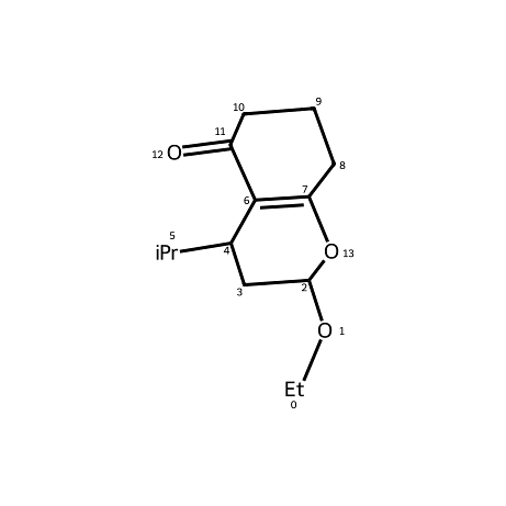 CCOC1CC(C(C)C)C2=C(CCCC2=O)O1